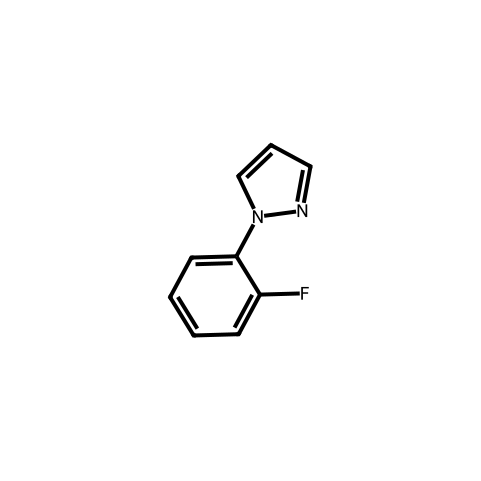 Fc1ccccc1-n1cccn1